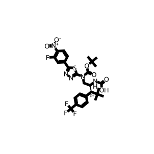 CC(C)(C)OC(=O)N(CC(NC(=O)O)[C@H](c1ccc(C(F)(F)F)cc1)C(C)(C)C)c1nnc(-c2ccc([N+](=O)[O-])c(F)c2)s1